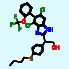 CCCCSc1ccc(C(CO)c2nc3c(Cl)c(-c4ccccc4OC(F)(F)F)c(Cl)cc3[nH]2)cc1